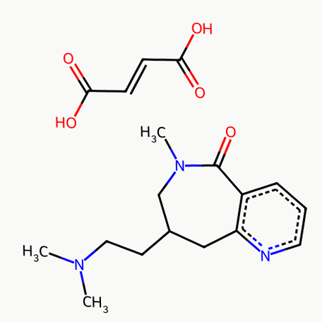 CN(C)CCC1Cc2ncccc2C(=O)N(C)C1.O=C(O)C=CC(=O)O